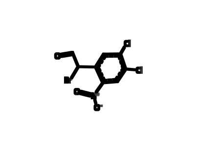 O=CC(Br)c1cc(Cl)c(Cl)cc1[N+](=O)[O-]